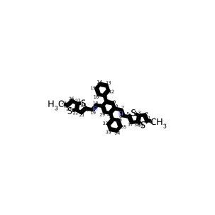 Cc1cc2sc(/C=C/c3cc(-c4ccccc4)c(/C=C/c4cc5sc(C)cc5s4)cc3-c3ccccc3)cc2s1